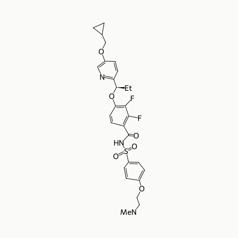 CC[C@@H](Oc1ccc(C(=O)NS(=O)(=O)c2ccc(OCCNC)cc2)c(F)c1F)c1ccc(OCC2CC2)cn1